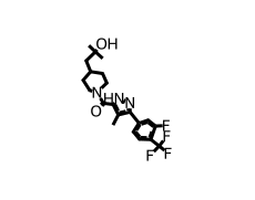 Cc1c(-c2ccc(C(F)(F)F)c(F)c2)n[nH]c1C(=O)N1CCC(CC(C)(C)O)CC1